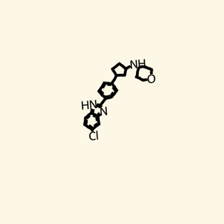 Clc1ccc2[nH]c(-c3ccc(C4CCC(NC5CCOCC5)C4)cc3)nc2c1